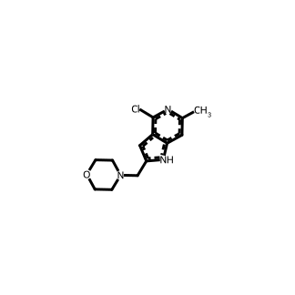 Cc1cc2[nH]c(CN3CCOCC3)cc2c(Cl)n1